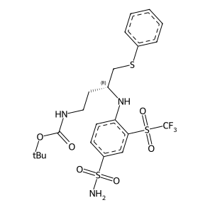 CC(C)(C)OC(=O)NCC[C@H](CSc1ccccc1)Nc1ccc(S(N)(=O)=O)cc1S(=O)(=O)C(F)(F)F